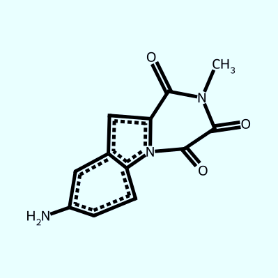 CN1C(=O)C(=O)n2c(cc3cc(N)ccc32)C1=O